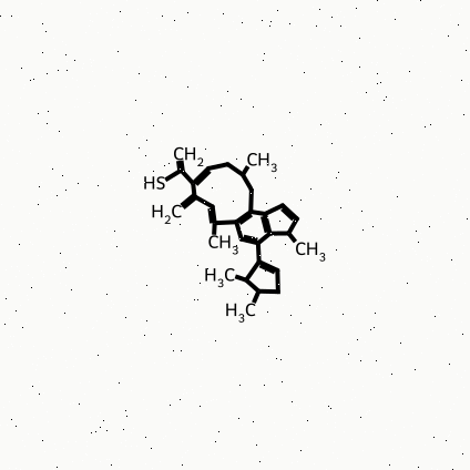 C=C(S)/C1=C/CC(C)Cc2c(cc(C3=CCC(C)C3C)c3c2C=CC3C)/C(C)=C/C1=C